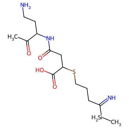 C[SiH2]C(=N)CCCSC(CC(=O)NC(CCN)C(C)=O)C(=O)O